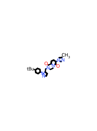 Cc1cn(-c2ccc3n(c2=O)CCN(Cc2ccnn2-c2ccc(C(C)(C)C)cc2)C3=O)cn1